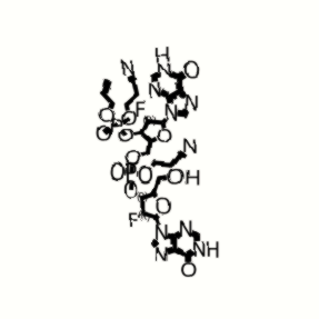 C=CCOP(=O)(OCCC#N)OC1C(COP(=O)(OCCC#N)O[C@@H]2C(CO)OC(n3cnc4c(=O)[nH]cnc43)[C@@H]2F)OC(n2cnc3c(=O)[nH]cnc32)[C@@H]1F